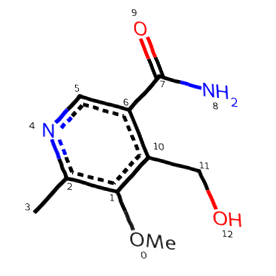 COc1c(C)ncc(C(N)=O)c1CO